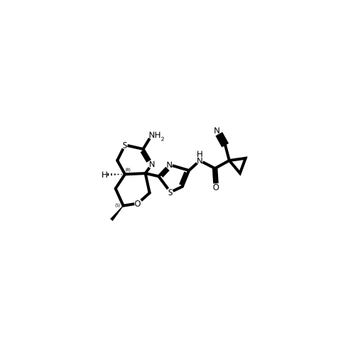 C[C@H]1C[C@H]2CSC(N)=NC2(c2nc(NC(=O)C3(C#N)CC3)cs2)CO1